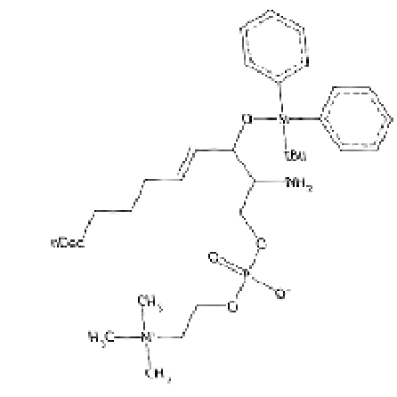 CCCCCCCCCCCCCC=CC(O[Si](c1ccccc1)(c1ccccc1)C(C)(C)C)C(N)COP(=O)([O-])OCC[N+](C)(C)C